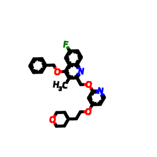 Cc1c(COc2cc(OCCC3CCOCC3)ccn2)nc2ccc(F)cc2c1OCc1ccccc1